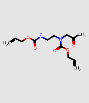 C=CCOC(=O)NCCN(CC(C)=O)C(=O)OCC=C